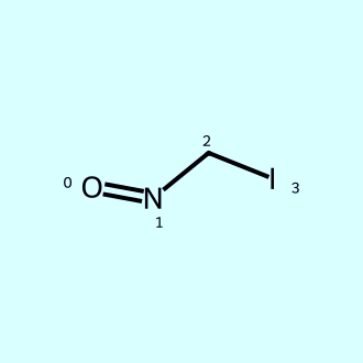 O=NCI